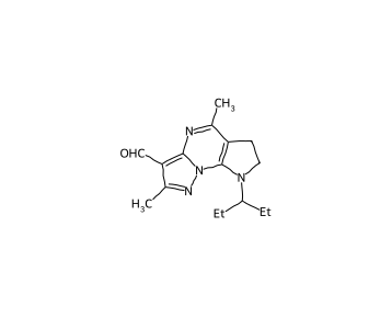 CCC(CC)N1CCc2c(C)nc3c(C=O)c(C)nn3c21